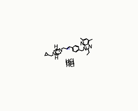 CCc1nc2c(C)cc(C)nc2n1Cc1ccc(/C=C/CN2C[C@H]3C[C@@H]2CN3CC2CC2)cc1.Cl.Cl.Cl